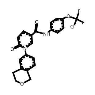 O=C(Nc1ccc(OC(F)(F)Cl)cc1)c1ccc(=O)n(-c2ccc3c(c2)CCOC3)c1